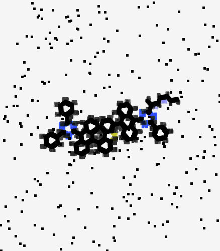 C=C/C=C\C=C(/C)c1nc(-c2ccccc2)nc(-c2c3ccccc3c(-c3cccc4c3sc3cccc(-c5c6ccccc6c(-c6nc(-c7ccccc7)nc(-c7ccccc7)n6)c6ccccc56)c34)c3ccccc23)n1